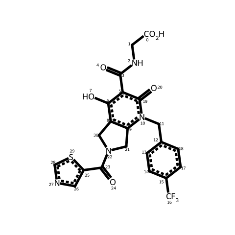 O=C(O)CNC(=O)c1c(O)c2c(n(Cc3ccc(C(F)(F)F)cc3)c1=O)CN(C(=O)c1cncs1)C2